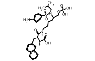 CC(C)CN(C(CCCCNC(=O)[C@H](Cc1ccc2ccccc2c1)NC(=O)O)COP(=O)(O)O)S(=O)(=O)c1ccc(N)cc1